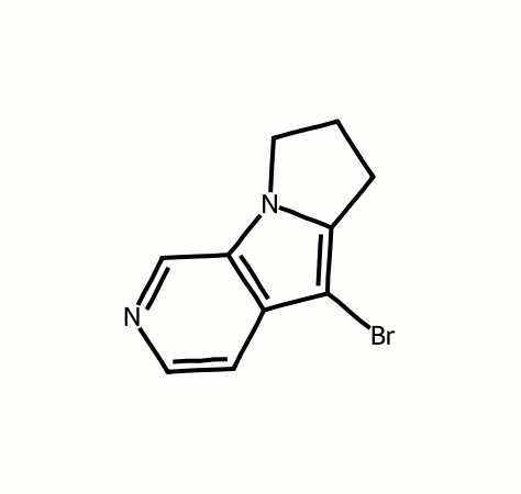 Brc1c2n(c3cnccc13)CCC2